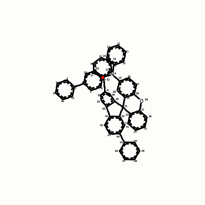 c1ccc(-c2ccc(N(c3ccccc3)c3ccc4c(c3)C3(c5ccccc5O4)c4cc(-c5ccccc5)ccc4-c4ccc(-c5ccccc5)cc43)cc2)cc1